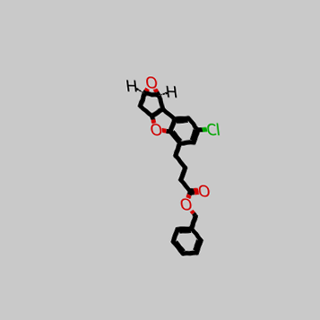 O=C(CCCc1cc(Cl)cc2c1OC1C[C@H]3O[C@H]3C21)OCc1ccccc1